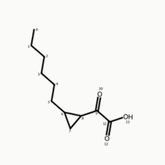 CCCCCCC1CC1C(=O)C(=O)O